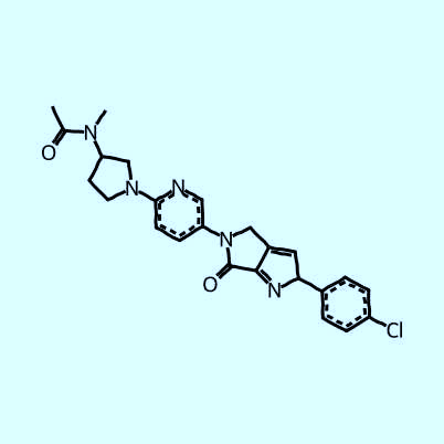 CC(=O)N(C)C1CCN(c2ccc(N3CC4=CC(c5ccc(Cl)cc5)N=C4C3=O)cn2)C1